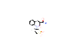 CC1(n2c(=O)c(C(N)=O)cc3ccccc32)C=CS(=O)(=O)C1